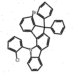 Clc1ccccc1-n1c2ccccc2c2ccc3c(c21)-c1cccc(Br)c1C3(c1ccccc1)c1ccccc1